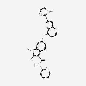 Cc1c(C(=O)Nc2ccccn2)c2ccc(Oc3ccnc4cc(-c5nccn5C)sc34)cc2n1C